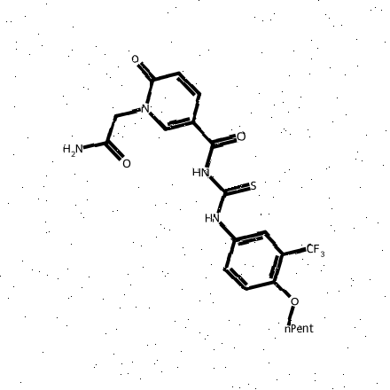 CCCCCOc1ccc(NC(=S)NC(=O)c2ccc(=O)n(CC(N)=O)c2)cc1C(F)(F)F